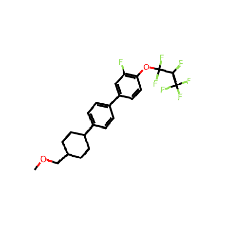 COCC1CCC(c2ccc(-c3ccc(OC(F)(F)C(F)C(F)(F)F)c(F)c3)cc2)CC1